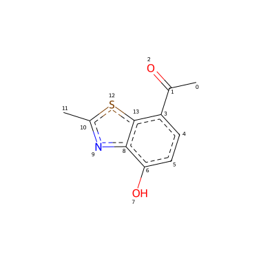 CC(=O)c1ccc(O)c2nc(C)sc12